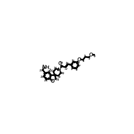 COCCCOc1cccc(C=CC(=O)N2CCC3(CC2)COc2ccc(CN)cc23)c1